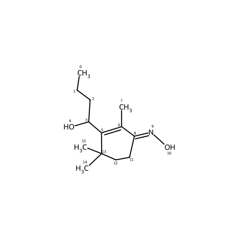 CCCC(O)C1=C(C)C(=NO)CCC1(C)C